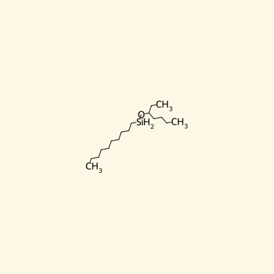 CCCCCCCCCC[SiH2]OC(CC)CCCC